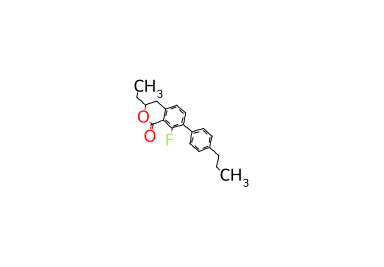 CCCc1ccc(-c2ccc3c(c2F)C(=O)OC(CC)C3)cc1